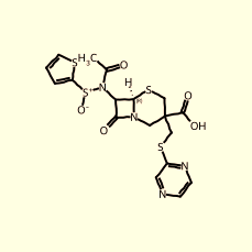 CC(=O)N(C1C(=O)N2CC(CSc3cnccn3)(C(=O)O)CS[C@H]12)[S+]([O-])c1cccs1